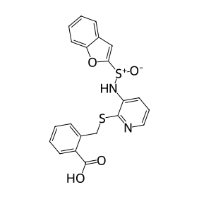 O=C(O)c1ccccc1CSc1ncccc1N[S+]([O-])c1cc2ccccc2o1